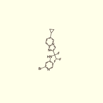 FC(F)C(F)(Nc1ccnc(Br)c1)c1cn2cc(C3CC3)ccc2n1